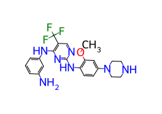 COc1cc(N2CCNCC2)ccc1Nc1ncc(C(F)(F)F)c(Nc2cccc(N)c2)n1